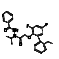 CCc1ccccc1-c1cc(F)cc(F)c1OCC(=O)N(NC(=O)c1ccccc1)C(C)C